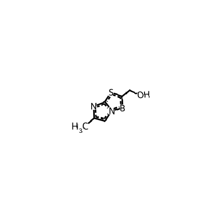 Cc1cn2bc(CO)sc2n1